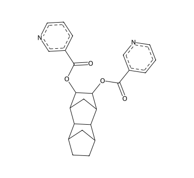 O=C(OC1C2CC(C1OC(=O)c1cccnc1)C1C3CCC(C3)C21)c1cccnc1